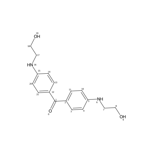 O=C(c1ccc(NCCO)cc1)c1ccc(NCCO)cc1